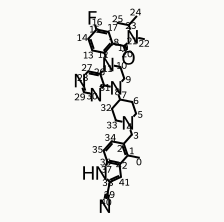 Cc1c(CN2CCC(N3CCN(c4ccc(F)cc4C(=O)N(C)C(C)C)c4cncnc43)CC2)ccc2[nH]c(C#N)cc12